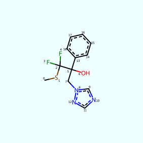 CSC(F)(F)C(O)(Cn1cncn1)c1ccccc1